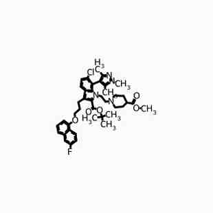 COC(=O)C1CCN(CCn2c(C(=O)OC(C)(C)C)c(CCCOc3cccc4cc(F)ccc34)c3ccc(Cl)c(-c4c(C)nn(C)c4C)c32)CC1